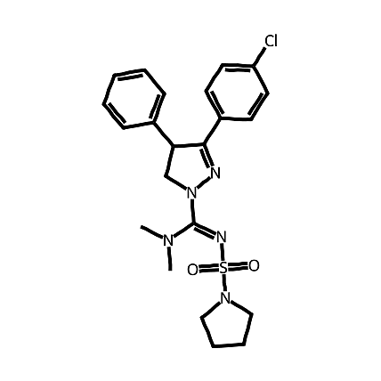 CN(C)C(=NS(=O)(=O)N1CCCC1)N1CC(c2ccccc2)C(c2ccc(Cl)cc2)=N1